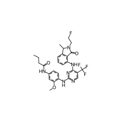 CCCC(=O)Nc1ccc(Nc2ncc(C(F)(F)F)c(Nc3cccc4c3C(=O)N(CCF)C4C)n2)c(OC)c1